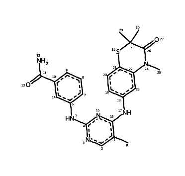 Cc1cnc(Nc2cccc(C(N)=O)c2)nc1Nc1ccc2c(c1)N(C)C(=O)C(C)(C)S2